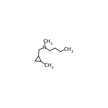 CCCCN(C)CC1CC1C